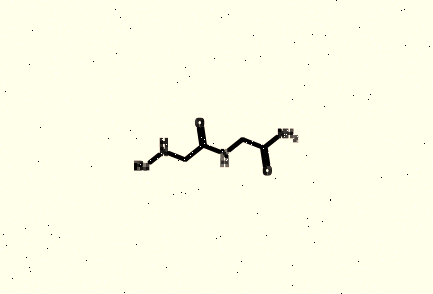 CCC(C)NCC(=O)NCC(N)=O